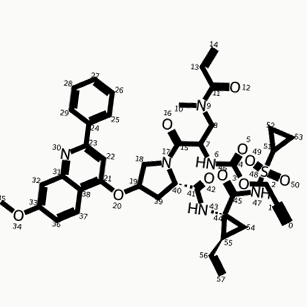 C#CCOC(=O)NC(CN(C)C(=O)C=C)C(=O)N1CC(Oc2cc(-c3ccccc3)nc3cc(OC)ccc23)C[C@H]1C(=O)N[C@]1(C(=O)NS(=O)(=O)C2CC2)C[C@H]1C=C